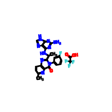 Cc1ccc2nc(C(C)Nc3nc(N)nc4[nH]cnc34)n(-c3cccc(F)c3)c(=O)c2n1.O=C(O)C(F)(F)F